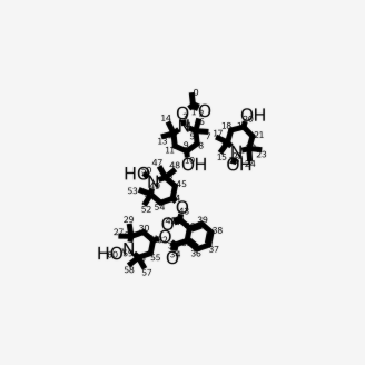 CC(=O)ON1C(C)(C)CC(O)CC1(C)C.CC1(C)CC(O)CC(C)(C)N1O.CC1(C)CC(OC(=O)c2ccccc2C(=O)OC2CC(C)(C)N(O)C(C)(C)C2)CC(C)(C)N1O